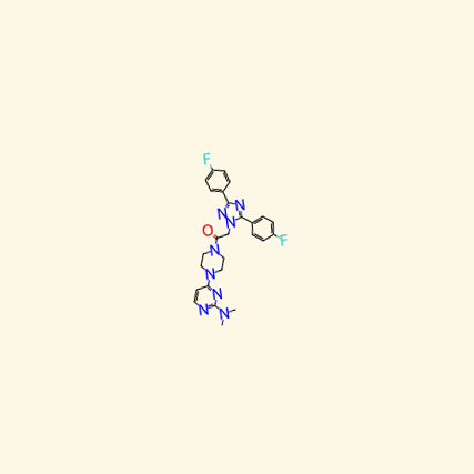 CN(C)c1nccc(N2CCN(C(=O)Cn3nc(-c4ccc(F)cc4)nc3-c3ccc(F)cc3)CC2)n1